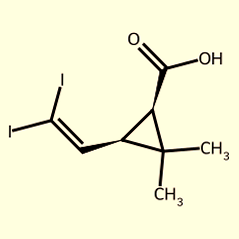 CC1(C)[C@H](C(=O)O)[C@@H]1C=C(I)I